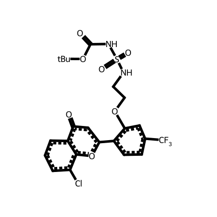 CC(C)(C)OC(=O)NS(=O)(=O)NCCOc1cc(C(F)(F)F)ccc1-c1cc(=O)c2cccc(Cl)c2o1